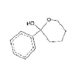 OC1(c2ccccc2)CCCCO1